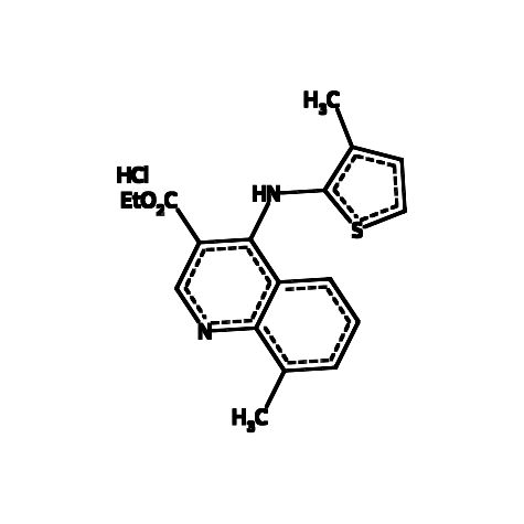 CCOC(=O)c1cnc2c(C)cccc2c1Nc1sccc1C.Cl